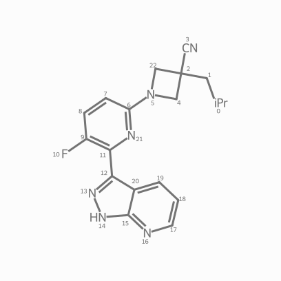 CC(C)CC1(C#N)CN(c2ccc(F)c(-c3n[nH]c4ncccc34)n2)C1